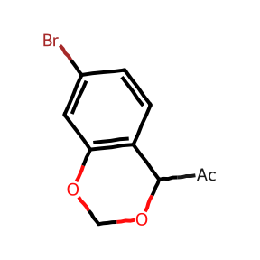 CC(=O)C1OCOc2cc(Br)ccc21